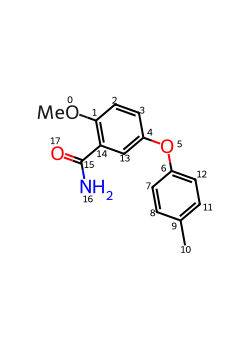 COc1ccc(Oc2ccc(C)cc2)cc1C(N)=O